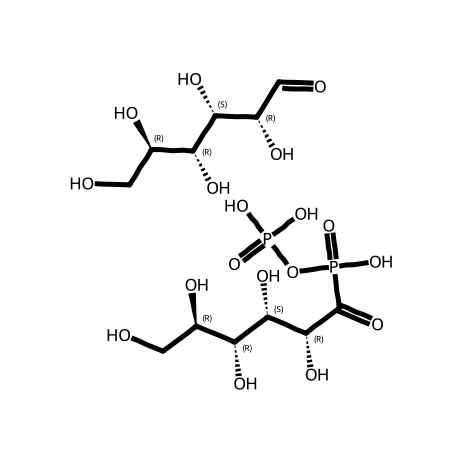 O=C([C@H](O)[C@@H](O)[C@H](O)[C@H](O)CO)P(=O)(O)OP(=O)(O)O.O=C[C@H](O)[C@@H](O)[C@H](O)[C@H](O)CO